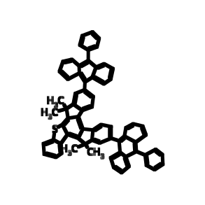 CC1(C)c2cc(-c3c4ccccc4c(-c4ccccc4)c4ccccc34)ccc2-c2c3c(c4c(sc5ccccc54)c21)C(C)(C)c1cc(-c2c4ccccc4c(-c4ccccc4)c4ccccc24)ccc1-3